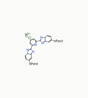 CCCCCC1=CC2=NC(c3cccc(C4=NC5C=CC(CCCCC)=CC5=N4)n3)=NC2C=C1.[Cl-].[Cl-].[V+2]